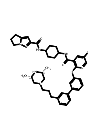 C[C@@H]1CN(CCCc2cccc(-c3cccc(Oc4ncc(F)cc4C(=O)NC4CCC(NC(=O)c5cc6n(n5)CCC6)CC4)c3)c2)C[C@H](C)N1